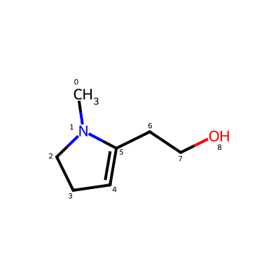 CN1CCC=C1CCO